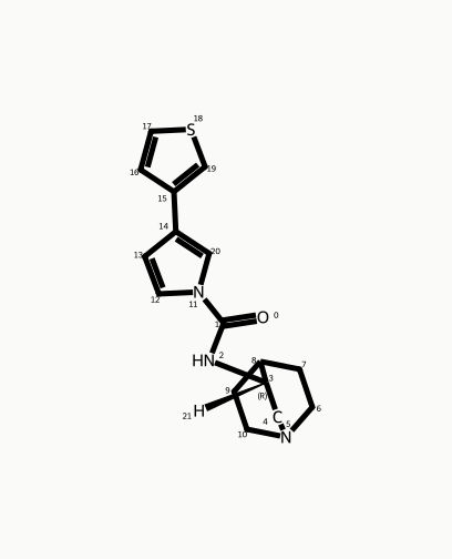 O=C(N[C@H]1CN2CCC1CC2)n1ccc(-c2ccsc2)c1